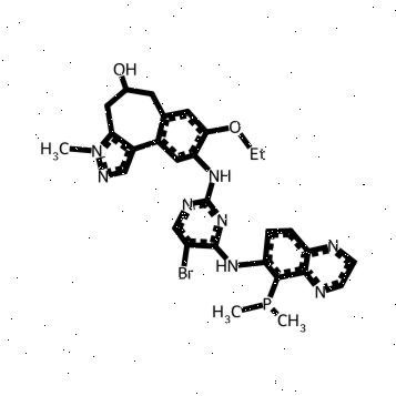 CCOc1cc2c(cc1Nc1ncc(Br)c(Nc3ccc4nccnc4c3P(C)C)n1)-c1cnn(C)c1CC(O)C2